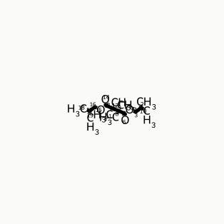 CC(C)COC(=O)C(C)(C)C(C)(C)C(=O)OCC(C)C